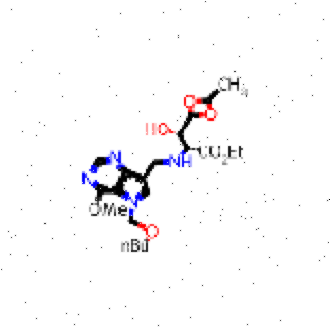 CCCCOCn1cc(CN[C@@H](C(=O)OCC)[C@H](O)C2OC(C)O2)c2ncnc(OC)c21